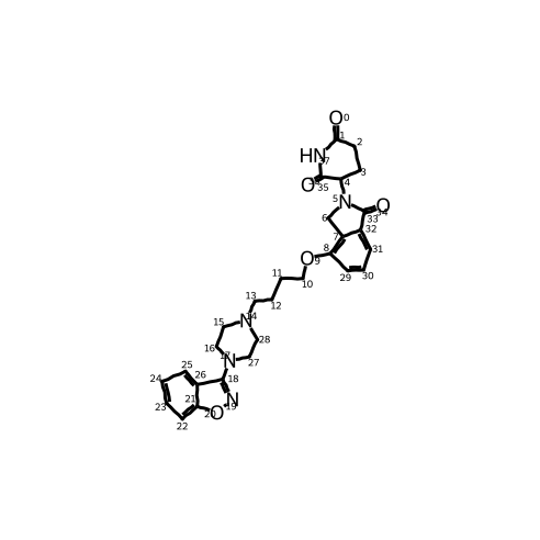 O=C1CCC(N2Cc3c(OCCCCN4CCN(c5noc6ccccc56)CC4)cccc3C2=O)C(=O)N1